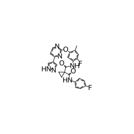 Cc1cc(F)c(NC(=O)C2(C(=O)Nc3ccc(F)cc3)CC2)cc1Oc1nccc(-c2cn[nH]c2)n1